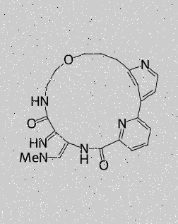 CN/C=C1/NC(=O)c2cccc(n2)-c2ccnc(c2)CCCOCCNC(=O)C1=N